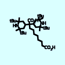 CC(C)(C)C1(C)CC(C(CCCCCCCC(=O)O)(C(=O)O)C2CC(C)(C(C)(C)C)NC(C)(C(C)(C)C)C2)CC(C)(C(C)(C)C)N1